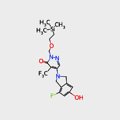 C[Si](C)(C)CCOCn1ncc(N2Cc3cc(O)cc(F)c3C2)c(C(F)(F)F)c1=O